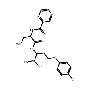 COCC(NC(=O)c1cnccn1)C(=O)NC(CCOc1ccc(Cl)cc1)B(O)O